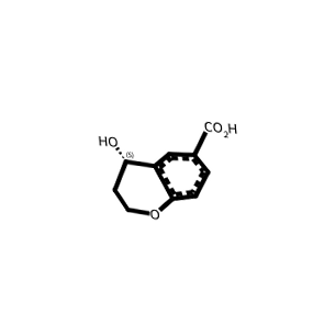 O=C(O)c1ccc2c(c1)[C@@H](O)CCO2